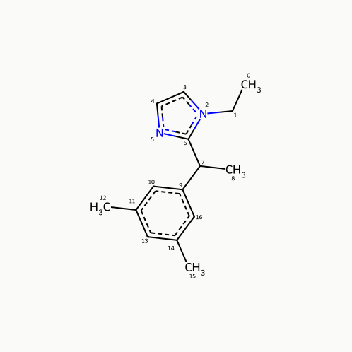 CCn1ccnc1C(C)c1cc(C)cc(C)c1